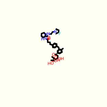 Cc1ccc([C@]23CC(O)[C@H](O)[C@](C(C)(C)O)(CO2)O3)cc1Cc1ccc(CCCC(=O)NC2(C(=O)NCCN3CCC(F)C3)CCCCC2)cc1